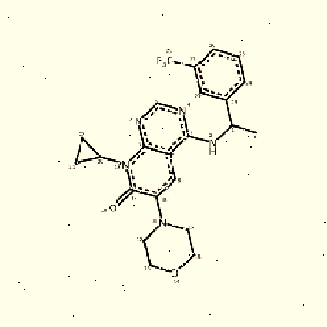 CC(Nc1ncnc2c1cc(N1CCOCC1)c(=O)n2C1CC1)c1cccc(C(F)(F)F)c1